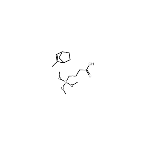 CC1=CC2CCC1C2.CO[Si](CCCC(=O)O)(OC)OC